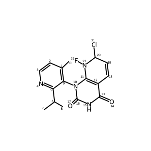 Cc1ccnc(C(C)C)c1-n1c2c(c(=O)[nH]c1=O)C=CC(Cl)N2F